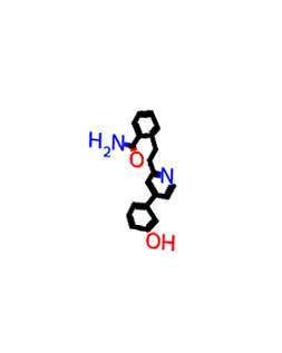 NC(=O)c1ccccc1C[CH]c1cc(-c2cccc(O)c2)ccn1